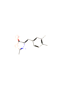 CC1=N/C(=C\c2ccc(C)c(C)c2)C(=O)O1